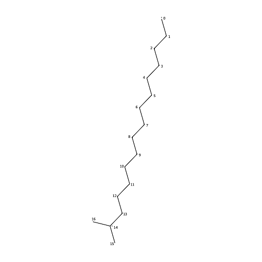 [CH2]CCCCCCCCCCCCC[C](C)C